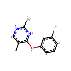 Cc1cnc(C(C)C)nc1Oc1cccc(F)c1